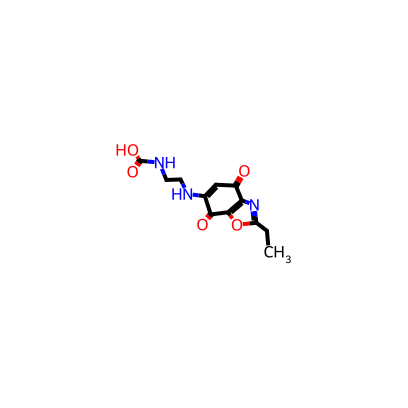 CCc1nc2c(o1)C(=O)C(NCCNC(=O)O)=CC2=O